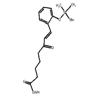 COC(=O)CCCCC(=O)C=Cc1ccccc1O[Si](C)(C)C(C)(C)C